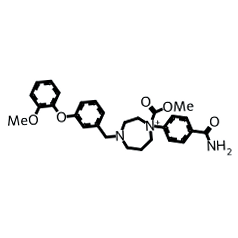 COC(=O)[N+]1(c2ccc(C(N)=O)cc2)CCCN(Cc2cccc(Oc3ccccc3OC)c2)CC1